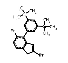 CCc1ccc2c(c1-c1cc([Si](C)(C)C)cc([Si](C)(C)C)c1)C=C(C(C)C)[CH]2